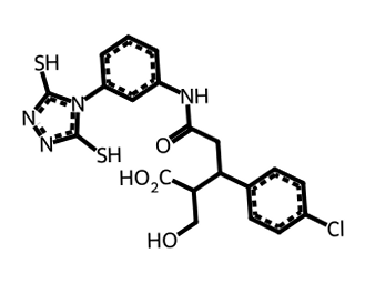 O=C(CC(c1ccc(Cl)cc1)C(CO)C(=O)O)Nc1cccc(-n2c(S)nnc2S)c1